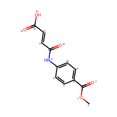 COC(=O)c1ccc(NC(=O)C=CC(=O)O)cc1